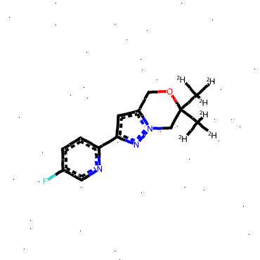 [2H]C([2H])([2H])C1(C([2H])([2H])[2H])Cn2nc(-c3ccc(F)cn3)cc2CO1